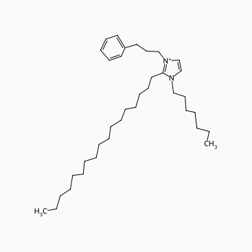 CCCCCCCCCCCCCCCCCc1n(CCCCCCC)cc[n+]1CCCc1ccccc1